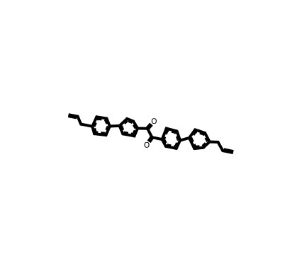 C=CCc1ccc(-c2ccc(C(=O)C(=O)c3ccc(-c4ccc(CC=C)cc4)cc3)cc2)cc1